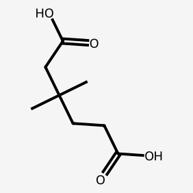 CC(C)(CCC(=O)O)CC(=O)O